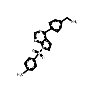 Cc1ccc(S(=O)(=O)n2ccc3c(-c4ccc(CN)cc4)ncnc32)cc1